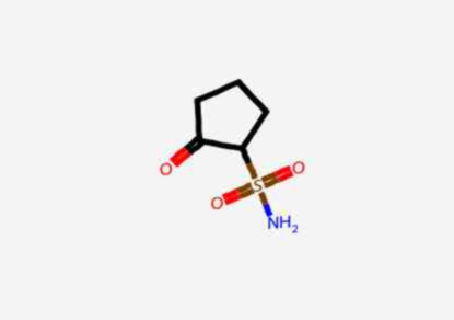 NS(=O)(=O)C1CCCC1=O